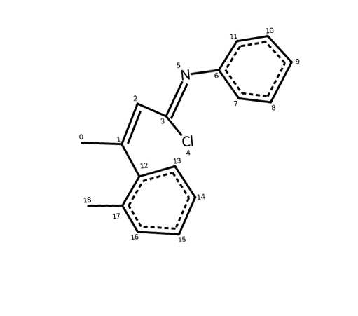 C/C(=C/C(Cl)=N/c1ccccc1)c1ccccc1C